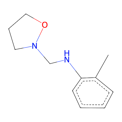 Cc1ccccc1NCN1CCCO1